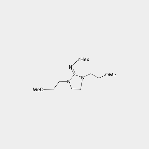 CCCCCCN=C1N(CCOC)CCN1CCOC